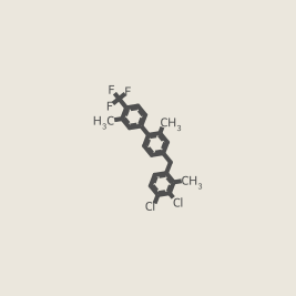 Cc1cc(Cc2ccc(Cl)c(Cl)c2C)ccc1-c1ccc(C(F)(F)F)c(C)c1